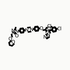 Cc1nn(CCOC2CCCCO2)c(=O)n1-c1ccc(N2CCN(c3ccc(OCC4COC(Cn5ccnc5)(c5ccc(Cl)cc5Cl)O4)cc3)CC2)cc1